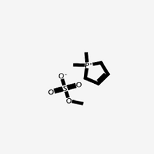 COS(=O)(=O)[O-].C[P+]1(C)CC=CC1